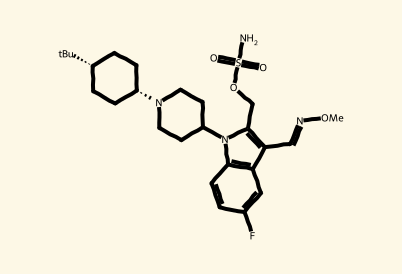 CON=Cc1c(COS(N)(=O)=O)n(C2CCN([C@H]3CC[C@@H](C(C)(C)C)CC3)CC2)c2ccc(F)cc12